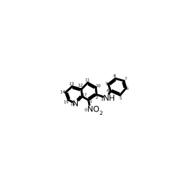 O=[N+]([O-])c1c(Nc2ccccc2)ccc2cccnc12